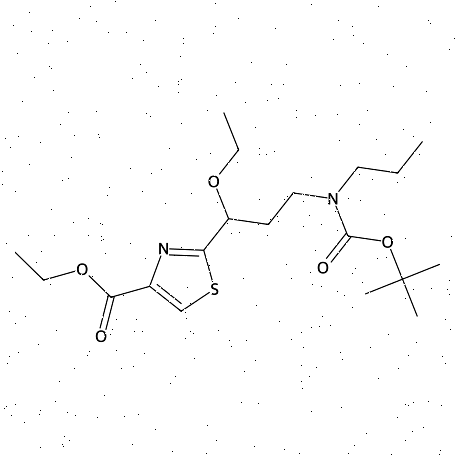 CCCN(CCC(OCC)c1nc(C(=O)OCC)cs1)C(=O)OC(C)(C)C